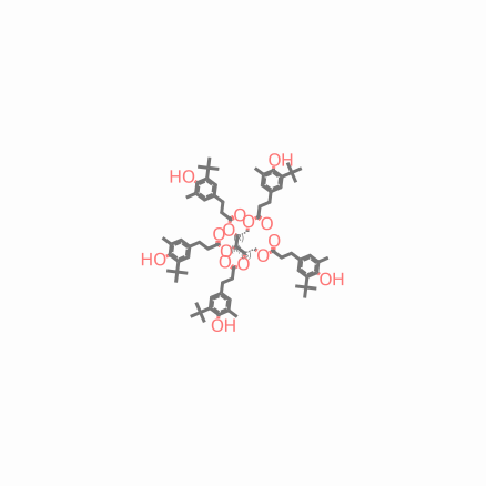 Cc1cc(CCC(=O)OC[C@H](OC(=O)CCc2cc(C)c(O)c(C(C)(C)C)c2)[C@@H](OC(=O)CCc2cc(C)c(O)c(C(C)(C)C)c2)[C@@H](COC(=O)CCc2cc(C)c(O)c(C(C)(C)C)c2)OC(=O)CCc2cc(C)c(O)c(C(C)(C)C)c2)cc(C(C)(C)C)c1O